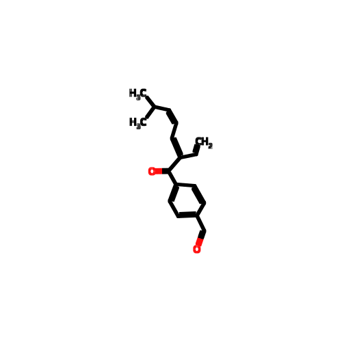 C=C/C(=C\C=C/C(C)C)C(=O)c1ccc(C=O)cc1